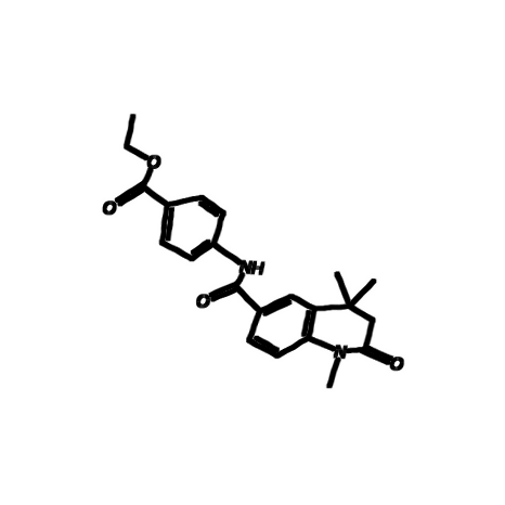 CCOC(=O)c1ccc(NC(=O)c2ccc3c(c2)C(C)(C)CC(=O)N3C)cc1